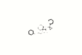 CN(CCOc1ccccc1)C1(C(=O)NC2(c3ccccn3)CC2)CCOCC1